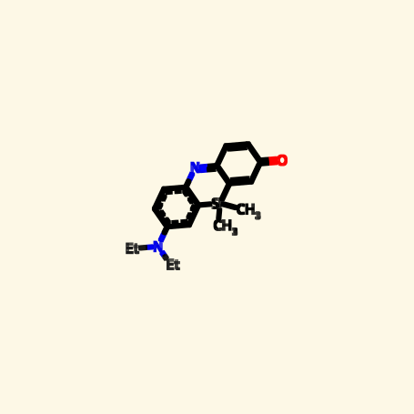 CCN(CC)c1ccc2c(c1)[Si](C)(C)C1=CC(=O)C=CC1=N2